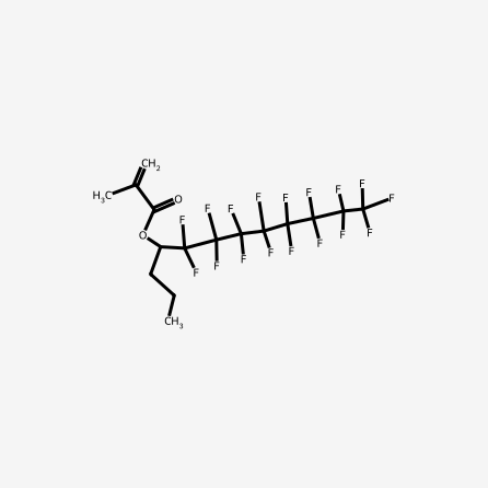 C=C(C)C(=O)OC(CCC)C(F)(F)C(F)(F)C(F)(F)C(F)(F)C(F)(F)C(F)(F)C(F)(F)C(F)(F)F